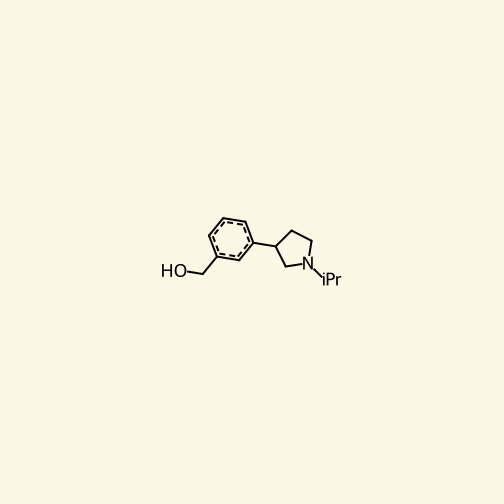 CC(C)N1CCC(c2cccc(CO)c2)C1